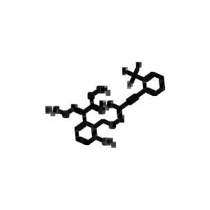 CO/N=C(/C(=O)OC)c1cccc(C)c1CO/N=C(\C)C#Cc1ccccc1C(F)(F)F